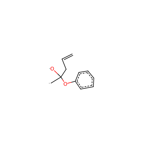 [CH2]C([O])(CC=C)Oc1ccccc1